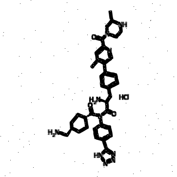 Cc1cc(C(=O)N2CCNC(C)C2)ncc1-c1ccc(C[C@H](N)C(=O)N(c2ccc(-c3nnn[nH]3)cc2)C(=O)[C@H]2CC[C@H](CN)CC2)cc1.Cl